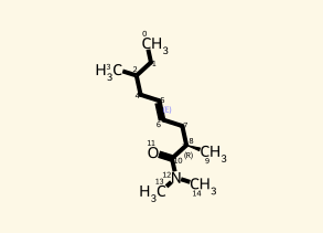 CCC(C)C/C=C/C[C@@H](C)C(=O)N(C)C